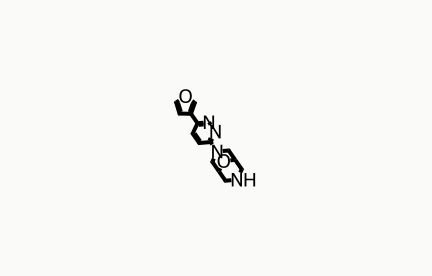 c1cc(-c2ccc(N3CC4CNCC(C3)O4)nn2)co1